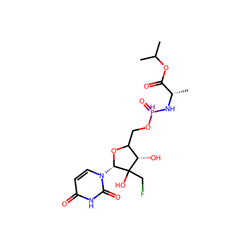 CC(C)OC(=O)[C@H](C)N[PH](=O)OCC1O[C@@H](n2ccc(=O)[nH]c2=O)C(O)(CF)[C@H]1O